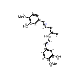 COc1c#cc(/C=N/NC(=N)N/N=C/c2ccc(OC)c(O)c2)cc1O